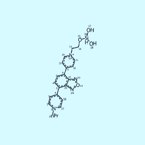 CCC[n+]1ccc(-c2ccc(-c3cc[n+](CCO[SiH](O)O)cc3)c3nonc23)cc1